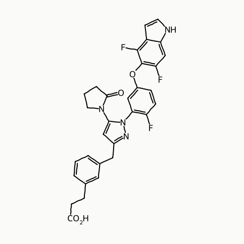 O=C(O)CCc1cccc(Cc2cc(N3CCCC3=O)n(-c3cc(Oc4c(F)cc5[nH]ccc5c4F)ccc3F)n2)c1